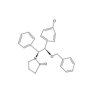 O=C1CCCN1[C@@H](c1ccccc1)[C@H](OCc1ccccc1)c1ccc(Cl)cc1